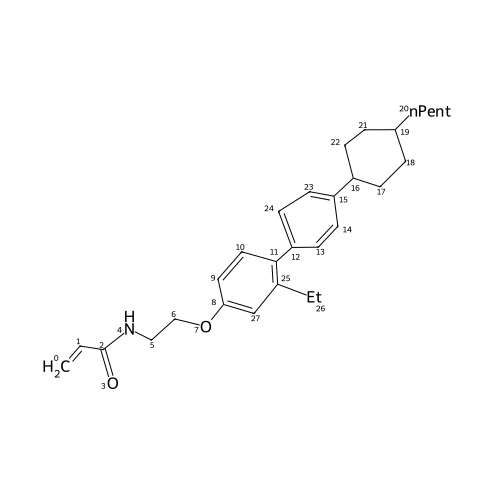 C=CC(=O)NCCOc1ccc(-c2ccc(C3CCC(CCCCC)CC3)cc2)c(CC)c1